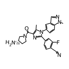 Cc1c(C(=O)N2CC[C@H](N)C2)nc(-c2ccc(C#N)c(F)c2)n1-c1ccc2c(cnn2C)c1